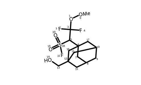 COOC(F)(F)C(C12CC3CC(CC(CO)(C3)C1)C2)S(=O)(=O)F